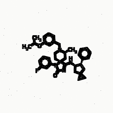 CC(C)Oc1cccc(CN2CC[C@@]3(C[C@@H]2C)C(N[C@@H]2CC4(CC4)C[C@H]2c2ccccc2)=NC(=O)N3c2cccc(F)c2)c1